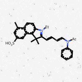 CC[N+]1=C(/C=C/C=C/N(C(C)=O)c2ccccc2)C(C)(C)c2c1ccc1c(C)cc(S(=O)(=O)O)cc21